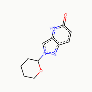 O=c1ccc2nn(C3CCCCO3)cc2[nH]1